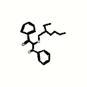 CCCCC(CC)COC(C(=O)c1ccccc1)C(=O)c1ccccc1